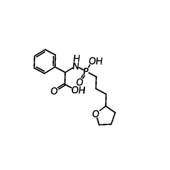 O=C(O)C(NP(=O)(O)CCCC1CCCO1)c1ccccc1